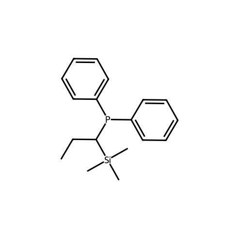 CCC(P(c1ccccc1)c1ccccc1)[Si](C)(C)C